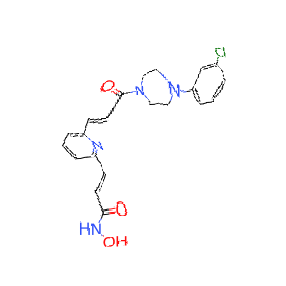 O=C(C=Cc1cccc(C=CC(=O)N2CCN(c3cccc(Cl)c3)CC2)n1)NO